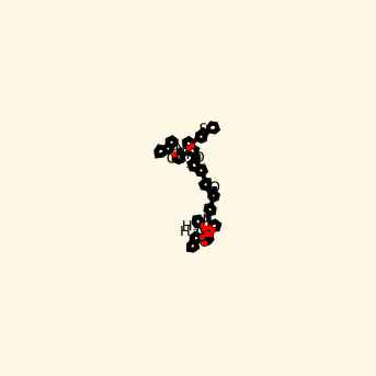 CC1(C)c2ccccc2-c2cccc(N(c3ccc(-c4ccc5oc6cc(-c7ccc8c(ccc9c8oc8cccc(-c%10ccccc%10N(c%10ccc(-c%11ccc%12c%13c(sc%12c%11)CCC=C%13)cc%10)c%10cccc%11c%10C(C)(C)c%10ccccc%10-%11)c89)c7)ccc6c5c4)cc3)c3ccccc3-c3cccc4oc5c6ccccc6ccc5c34)c21